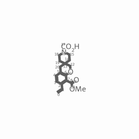 C=Cc1ccc2c(c1C(=O)OC)OCC1(CCN(C(=O)O)CC1)C2